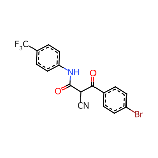 N#CC(C(=O)Nc1ccc(C(F)(F)F)cc1)C(=O)c1ccc(Br)cc1